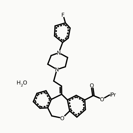 CC(C)OC(=O)c1ccc2c(c1)/C(=C/CN1CCN(c3ccc(F)cc3)CC1)c1ccccc1CO2.O